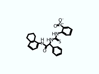 O=C(Nc1cccc2c1CCCC2)C(NC(=S)Nc1ccccc1[N+](=O)[O-])c1ccccc1